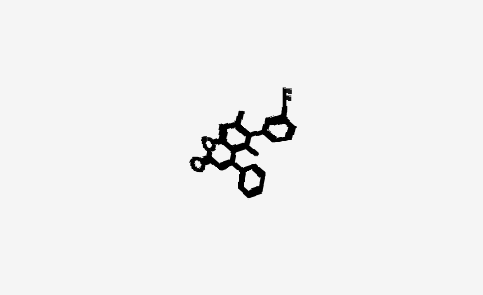 Cc1cc2oc(=O)cc(-c3ccccc3)c2c(C)c1-c1cccc(F)c1